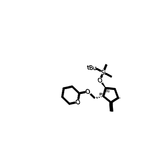 C=C1[CH]C[C@H](O[Si](C)(C)C(C)(C)C)[C@H]1COC1CCCCO1